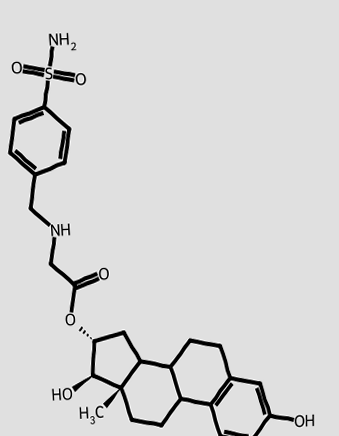 C[C@]12CCC3c4ccc(O)cc4CCC3C1C[C@@H](OC(=O)CNCc1ccc(S(N)(=O)=O)cc1)[C@@H]2O